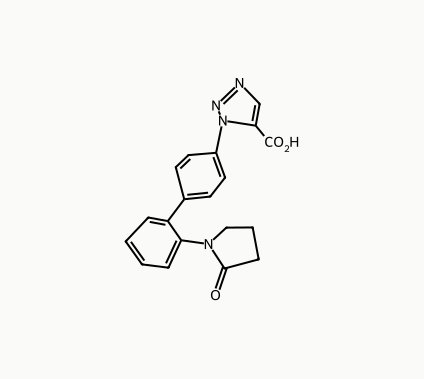 O=C(O)c1cnnn1-c1ccc(-c2ccccc2N2CCCC2=O)cc1